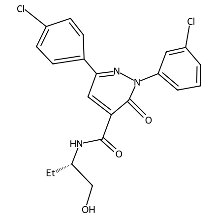 CC[C@@H](CO)NC(=O)c1cc(-c2ccc(Cl)cc2)nn(-c2cccc(Cl)c2)c1=O